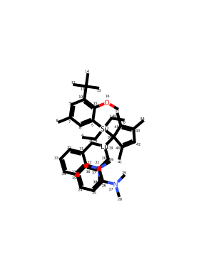 CC[Si](CC)(c1cc(C)cc(C(C)(C)C)c1OC)[C]1([Lu]([CH2]c2ccccc2N(C)C)[CH2]c2ccccc2N(C)C)C(C)=CC(C)=C1C